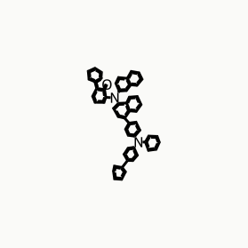 c1ccc(-c2ccc(N(c3ccccc3)c3ccc(-c4ccc(N(c5ccc6ccccc6c5)c5cccc6c5oc5ccccc56)c5ccccc45)cc3)cc2)cc1